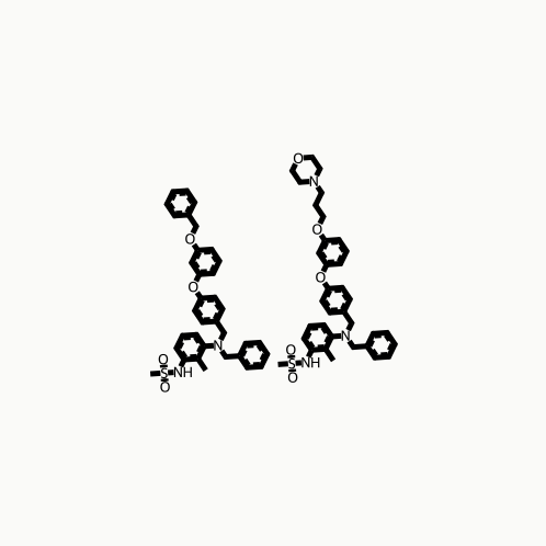 Cc1c(NS(C)(=O)=O)cccc1N(Cc1ccccc1)Cc1ccc(Oc2cccc(OCCCN3CCOCC3)c2)cc1.Cc1c(NS(C)(=O)=O)cccc1N(Cc1ccccc1)Cc1ccc(Oc2cccc(OCc3ccccc3)c2)cc1